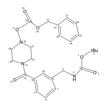 CC(C)(C)OC(=O)NCc1cccc(C(=O)N2CCN(OC(=O)OCc3ccccc3)CC2)c1